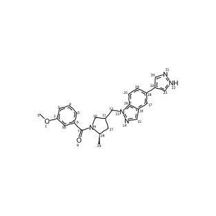 COc1cccc(C(=O)N2CC(Cn3ncc4cc(-c5cn[nH]c5)ccc43)C[C@H]2C)c1